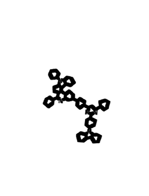 c1ccc(-c2cc(-c3ccc(-c4ccc5c(c4)nc(-c4ccccc4)c4ccc6c(c7ccccc7n6-c6ccccc6)c45)cc3)nc(-c3ccc(-n4c5ccccc5c5ccccc54)cc3)n2)cc1